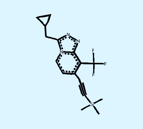 C[Si](C)(C)C#Cc1ccn2c(CC3CC3)nnc2c1C(F)(F)F